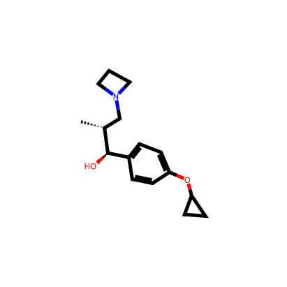 C[C@H](CN1CCC1)[C@H](O)c1ccc(OC2CC2)cc1